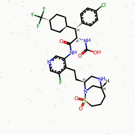 O=C(O)N[C@H](C(=O)Nc1cncc(F)c1CC[C@H]1CN[C@@H]2CCCS(=O)(=O)N1C2)[C@@H](c1ccc(Cl)cc1)[C@H]1CC[C@H](C(F)(F)F)CC1